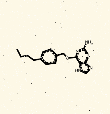 CCCCc1ccc(COc2nc(N)nc3nc[nH]c23)cc1